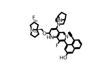 C#Cc1cccc2cc(O)cc(-c3ncc4c(c3F)NC(OC[C@@]35CCCN3C[C@H](F)C5)C=C4N3CC4CCC(C3)N4)c12